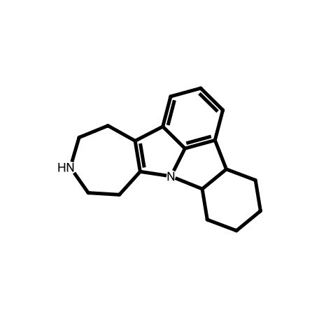 c1cc2c3c(c1)c1c(n3C3CCCCC23)CCNCC1